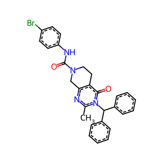 Cc1nc2c(c(=O)n1C(c1ccccc1)c1ccccc1)CCN(C(=O)Nc1ccc(Br)cc1)C2